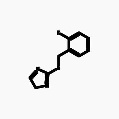 Fc1ccccc1CSC1=NCC=N1